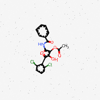 CC(=O)Oc1c(NC(=O)c2ccccc2)oc(-c2c(Cl)cccc2Cl)c1O